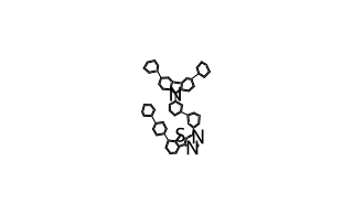 c1ccc(-c2ccc(-c3cccc4c3sc3c(-c5cccc(-c6cccc(-n7c8ccc(-c9ccccc9)cc8c8cc(-c9ccccc9)ccc87)c6)c5)ncnc34)cc2)cc1